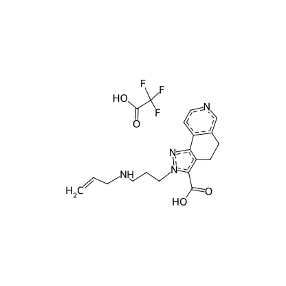 C=CCNCCCn1nc2c(c1C(=O)O)CCc1cnccc1-2.O=C(O)C(F)(F)F